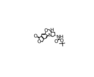 CC(C)(C)OC(=O)N[C@H]1C[C@H]2COc3cc4c(cc3N2C1)COC4=O